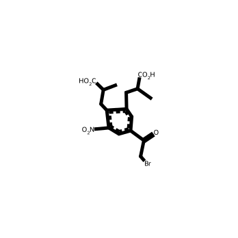 CC(Cc1cc(C(=O)CBr)cc([N+](=O)[O-])c1CC(C)C(=O)O)C(=O)O